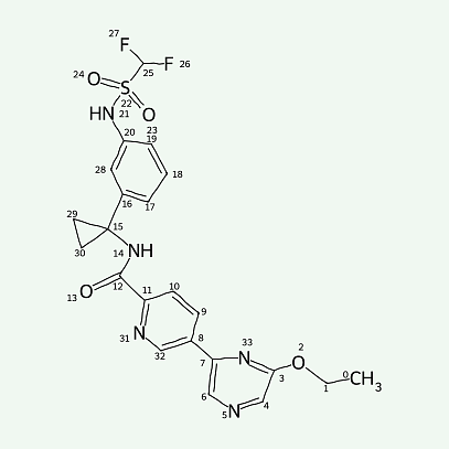 CCOc1cncc(-c2ccc(C(=O)NC3(c4cccc(NS(=O)(=O)C(F)F)c4)CC3)nc2)n1